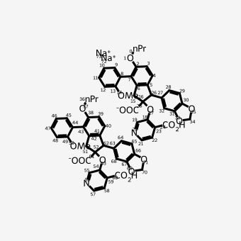 CCCOc1ccc2c(c1-c1ccccc1OC)CC(Oc1cnccc1C(=O)O)(C(=O)[O-])C2c1ccc2c(c1)OCO2.CCCOc1ccc2c(c1-c1ccccc1OC)CC(Oc1cnccc1C(=O)O)(C(=O)[O-])C2c1ccc2c(c1)OCO2.[Na+].[Na+]